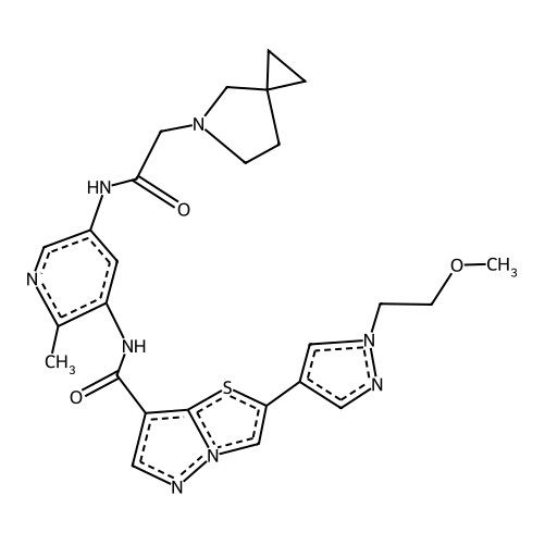 COCCn1cc(-c2cn3ncc(C(=O)Nc4cc(NC(=O)CN5CCC6(CC6)C5)cnc4C)c3s2)cn1